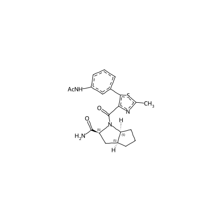 CC(=O)Nc1cccc(-c2sc(C)nc2C(=O)N2[C@H](C(N)=O)C[C@@H]3CCC[C@@H]32)c1